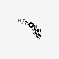 CCOc1ccc2nc(NC(=S)n3ccnc3)sc2c1